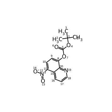 CC(C)(C)OC(=O)Oc1ccc([N+](=O)[O-])c2cccnc12